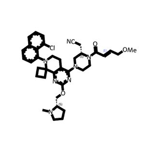 COC/C=C/C(=O)N1CCN(c2nc(OC[C@@H]3CCCN3C)nc3c2CCN(c2cccc4cccc(Cl)c24)C32CCC2)C[C@@H]1CC#N